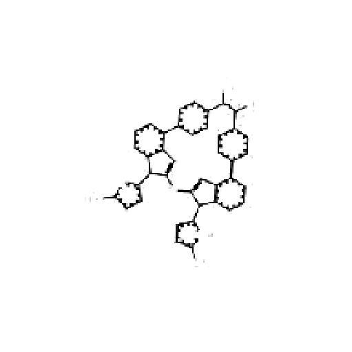 Cc1ccc(C2[C]([Zr][C]3=Cc4c(-c5ccc(C(C)C)cc5)cccc4C3c3ccc(C)o3)=Cc3c(-c4ccc(C(C)C)cc4)cccc32)o1